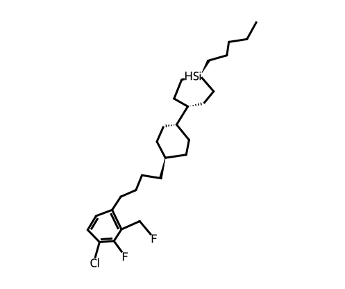 CCCCC[Si@H]1CC[C@H]([C@H]2CC[C@H](CCCCc3ccc(Cl)c(F)c3CF)CC2)CC1